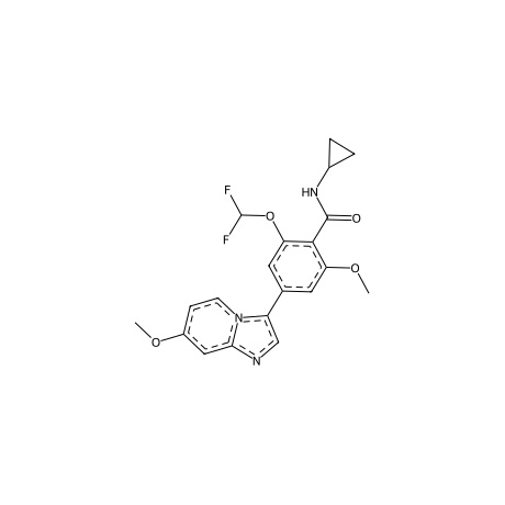 COc1ccn2c(-c3cc(OC)c(C(=O)NC4CC4)c(OC(F)F)c3)cnc2c1